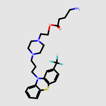 NCCCC(=O)OCCN1CCN(CCCN2c3ccccc3Sc3ccc(C(F)(F)F)cc32)CC1